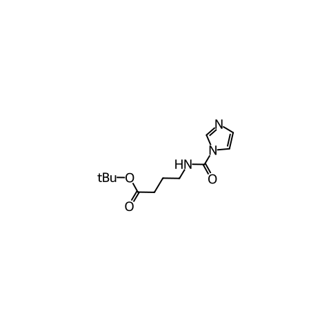 CC(C)(C)OC(=O)CCCNC(=O)n1ccnc1